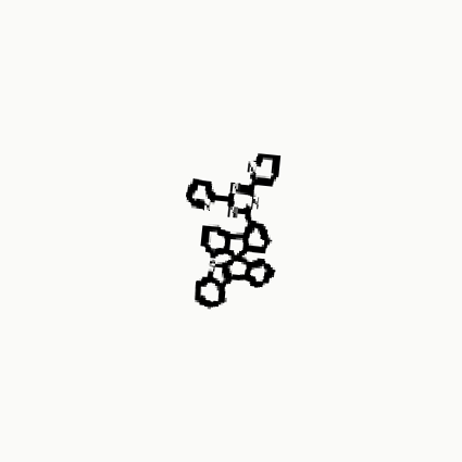 c1ccc(-c2nc(-c3ccccn3)nc(-c3cccc4c3-c3ccccc3C43c4ccccc4-c4c3sc3ccccc43)n2)nc1